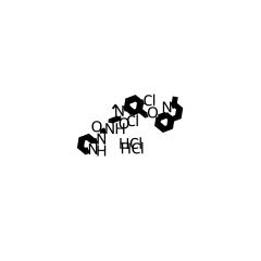 Cc1ccc2cccc(OCc3c(Cl)ccc(N(C)C(=O)CNC(=O)Nc4ccccn4)c3Cl)c2n1.Cl.Cl